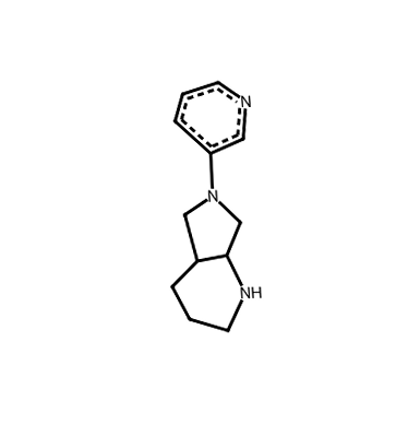 c1cncc(N2CC3CCCNC3C2)c1